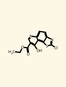 CCOC(=O)c1cnc2ccc3nc(Cl)sc3c2c1O